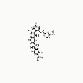 CC(=O)N1CCC[C@@H](CCc2n[nH]c3nccc(Nc4cccc(C(=O)Nc5ccc(C(C)C)c(C)c5)c4)c23)C1